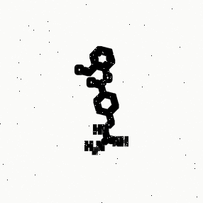 N=C(N)NCC1CCC(C(=O)Oc2ccccc2C=O)CC1